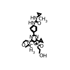 C[C@H]1COCCN1c1cc(C2(S(=O)(=O)CCCO)CC2)nc(-c2ccc(NC(=O)NC3(C)CC3)cc2)n1